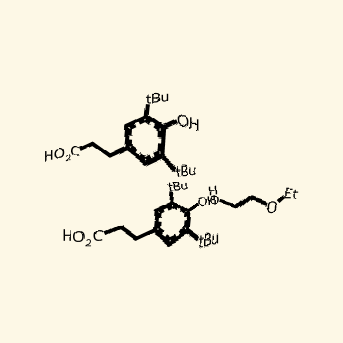 CC(C)(C)c1cc(CCC(=O)O)cc(C(C)(C)C)c1O.CC(C)(C)c1cc(CCC(=O)O)cc(C(C)(C)C)c1O.CCOCCO